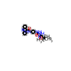 CC(C)(C)c1cc(NC(=O)Nc2ccc(NC(=O)c3c4ccccc4nc4ccccc34)cc2)no1